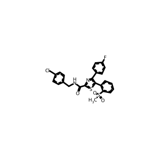 CS(=O)(=O)c1ccccc1-c1sc(C(=O)NCc2ccc(Cl)cc2)nc1-c1ccc(F)cc1